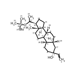 C=C[C@@]1(O)CC[C@H]2[C@H](CC[C@@H]3[C@@H]2CC[C@]2(C)[C@@H](C(C)O[Si](C)(C)C(C)(C)C)CC[C@@H]32)C1